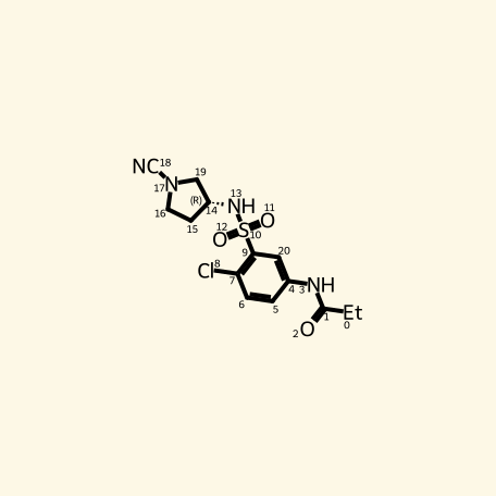 CCC(=O)Nc1ccc(Cl)c(S(=O)(=O)N[C@@H]2CCN(C#N)C2)c1